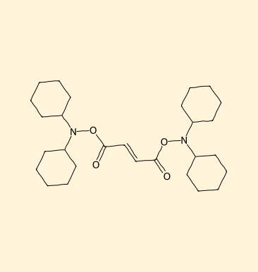 O=C(/C=C/C(=O)ON(C1CCCCC1)C1CCCCC1)ON(C1CCCCC1)C1CCCCC1